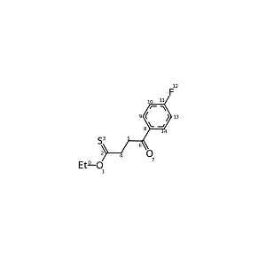 CCOC(=S)CCC(=O)c1ccc(F)cc1